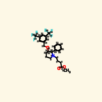 COC(=O)CCCN1CCC[C@@H](OCc2cc(C(F)(F)F)cc(C(F)(F)F)c2)[C@H]1c1ccccc1